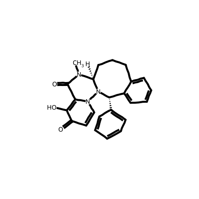 CN1C(=O)c2c(O)c(=O)ccn2N2[C@@H](c3ccccc3)c3ccccc3CCC[C@H]12